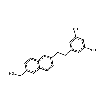 OCc1ccc2cc(CCc3cc(O)cc(O)c3)ccc2c1